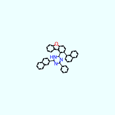 c1ccc(C2=NC(c3c(-c4cccc5ccccc45)ccc4oc5ccccc5c34)NC(c3ccc4ccccc4c3)=N2)cc1